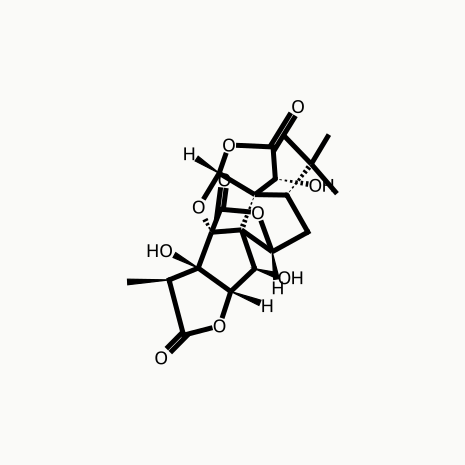 C[C@@H]1C(=O)O[C@H]2[C@H](O)C34[C@H]5C[C@@H](C(C)(C)C)[C@]36[C@@H](OC(=O)[C@@H]6O)O[C@@]4(C(=O)O5)[C@@]12O